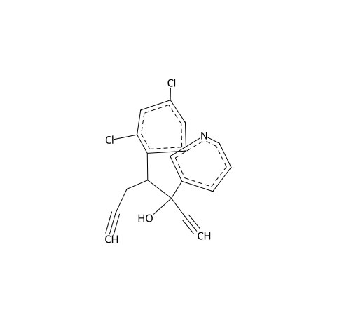 C#CCC(c1ccc(Cl)cc1Cl)C(O)(C#C)c1cccnc1